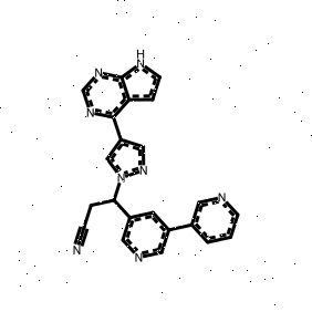 N#CCC(c1cncc(-c2cccnc2)c1)n1cc(-c2ncnc3[nH]ccc23)cn1